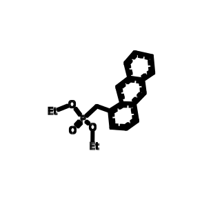 CCOP(=O)(Cc1cccc2cc3ccccc3cc12)OCC